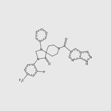 O=C(c1cnc2[nH]ncc2c1)N1CCC2(CC1)C(=O)N(c1ccc(C(F)(F)F)cc1F)CN2c1ccccc1